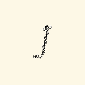 O=C(O)CCOCCOCCOCCOCCOCCN1C(=O)C=CC1=O